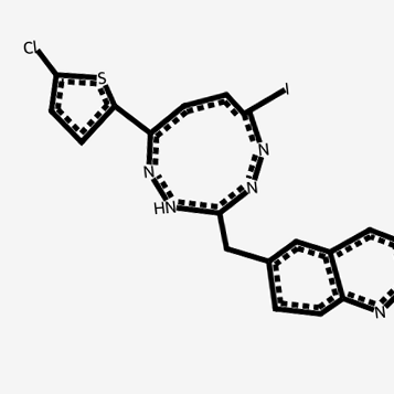 Clc1ccc(-c2ccc(I)nnc(Cc3ccc4ncccc4c3)[nH]n2)s1